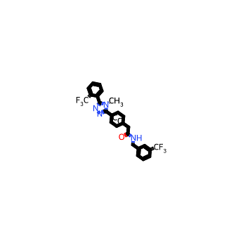 Cn1c(-c2ccccc2C(F)(F)F)nnc1C12CCC(CC(=O)NCc3cccc(C(F)(F)F)c3)(CC1)CC2